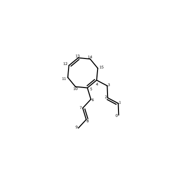 CC=CCC1=C(CC=CC)CCC=CCC1